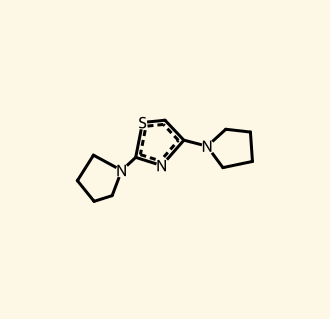 c1sc(N2CCCC2)nc1N1CCCC1